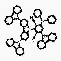 N#Cc1c(N(c2ccccc2)c2ccccc2)cc(-n2c3ccccc3c3ccccc32)c(C#N)c1-n1c2ccc(-n3c4ccccc4c4ccccc43)cc2c2cc(-n3c4ccccc4c4ccccc43)ccc21